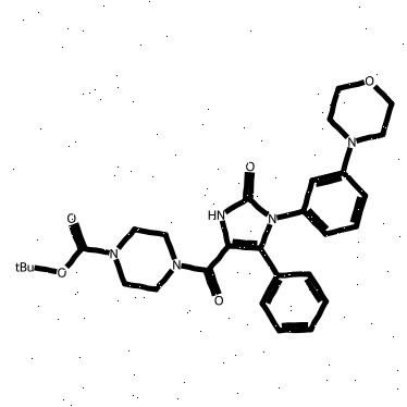 CC(C)(C)OC(=O)N1CCN(C(=O)c2[nH]c(=O)n(-c3cccc(N4CCOCC4)c3)c2-c2ccccc2)CC1